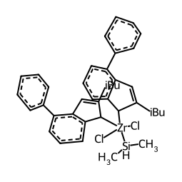 CCC(C)C1=Cc2c(-c3ccccc3)cccc2[CH]1[Zr]([Cl])([Cl])([CH]1C(C(C)CC)=Cc2c(-c3ccccc3)cccc21)[SiH](C)C